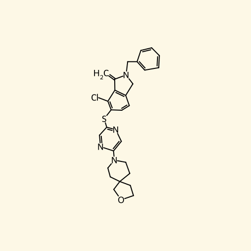 C=C1c2c(ccc(Sc3cnc(N4CCC5(CCOC5)CC4)cn3)c2Cl)CN1Cc1ccccc1